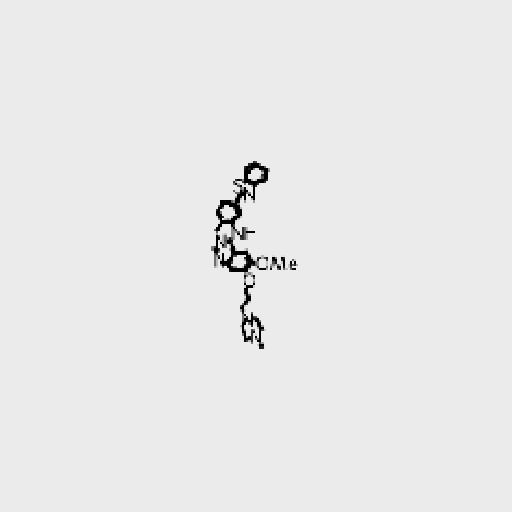 COc1cc2c(Nc3cc(-c4nc5ccccc5s4)ccc3C)ncnc2cc1OCCCN1CCN(C)CC1